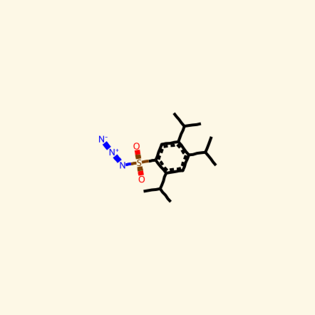 CC(C)c1cc(C(C)C)c(S(=O)(=O)N=[N+]=[N-])cc1C(C)C